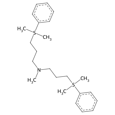 CN(CCCS(C)(C)c1ccccc1)CCCS(C)(C)c1ccccc1